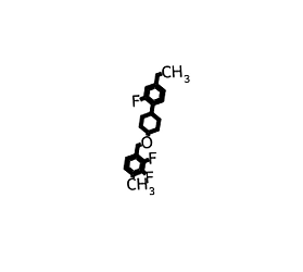 CCc1ccc(C2CCC(OCc3ccc(C)c(F)c3F)CC2)c(F)c1